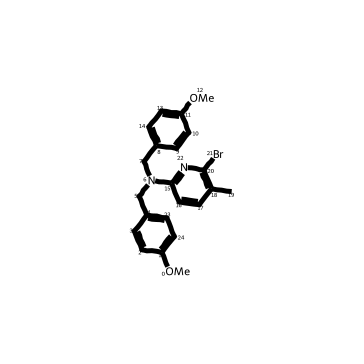 COc1ccc(CN(Cc2ccc(OC)cc2)c2ccc(C)c(Br)n2)cc1